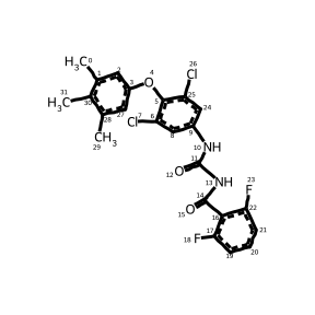 Cc1cc(Oc2c(Cl)cc(NC(=O)NC(=O)c3c(F)cccc3F)cc2Cl)cc(C)c1C